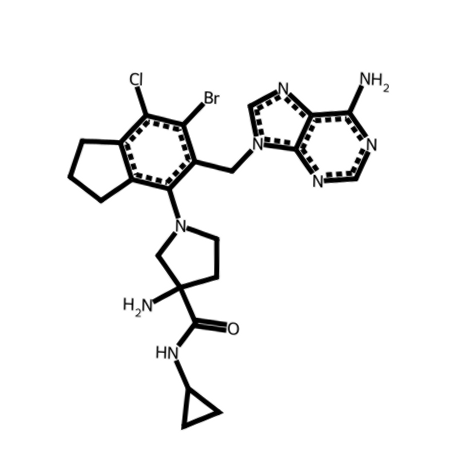 Nc1ncnc2c1ncn2Cc1c(Br)c(Cl)c2c(c1N1CCC(N)(C(=O)NC3CC3)C1)CCC2